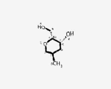 CC1CO[C@H](CO)[C@H](O)C1